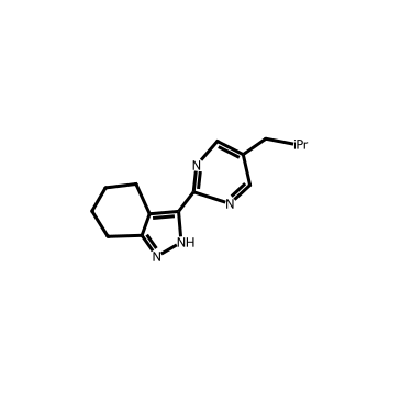 CC(C)Cc1cnc(-c2[nH]nc3c2CCCC3)nc1